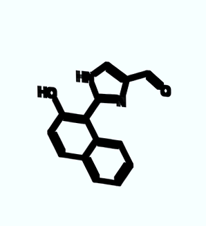 O=Cc1c[nH]c(-c2c(O)ccc3ccccc23)n1